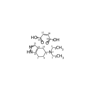 CCN(CC)C1CCc2[nH]ncc2C1.O=C(O)/C=C\C(=O)O